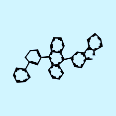 C1=C(c2ccccc2)CCC=C1c1c2ccccc2c(-c2ccc3oc4ccccc4c3c2)c2ccccc12